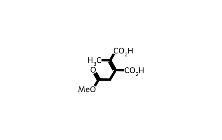 COC(=O)CC(C(=O)O)=C(C)C(=O)O